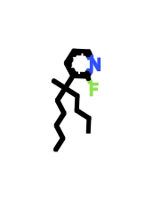 CCCCCC(C)(CCCC)c1cccnc1F